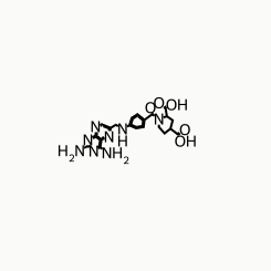 Nc1nc(N)c2nc(CNc3ccc(C(=O)N4CCC(C(=O)O)CC4C(=O)O)cc3)cnc2n1